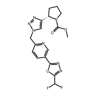 COC(=O)N1CCC[C@H]1c1cn(Cc2ccc(-c3nnc(C(F)F)o3)cn2)nn1